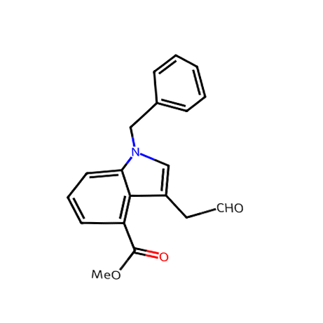 COC(=O)c1cccc2c1c(CC=O)cn2Cc1ccccc1